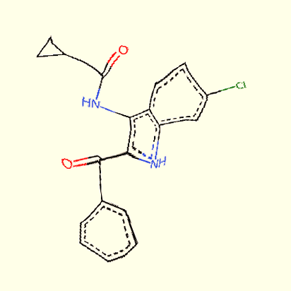 O=C(c1ccccc1)c1[nH]c2cc(Cl)ccc2c1NC(=O)C1CC1